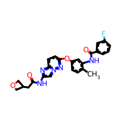 Cc1ccc(Oc2ccc3nc(NC(=O)CC4COC4)cn3n2)cc1NC(=O)c1cccc(F)c1